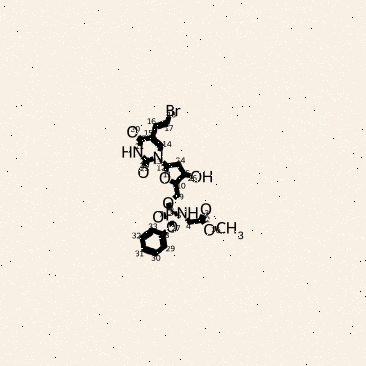 COC(=O)CNP(=O)(OCC1OC(n2cc(/C=C/Br)c(=O)[nH]c2=O)CC1O)Oc1ccccc1